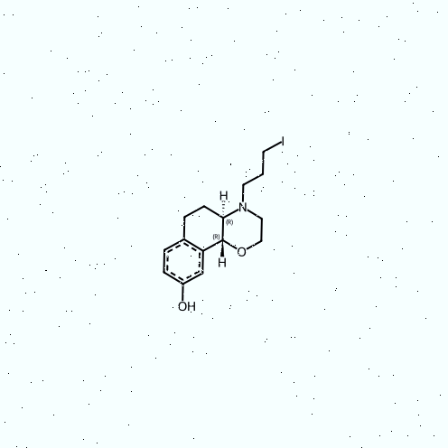 Oc1ccc2c(c1)[C@H]1OCCN(CCCI)[C@@H]1CC2